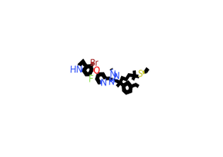 C=CSCC(C)(C)CCCC(C)(c1cccc(CC)c1)c1nc(-c2cc(Oc3c(F)cc4[nH]ccc4c3Br)ccn2)n(C)n1